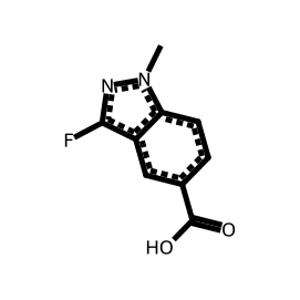 Cn1nc(F)c2cc(C(=O)O)ccc21